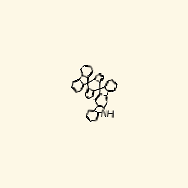 c1ccc2c(c1)-c1ccccc1C21c2ccccc2C2(c3ccccc3-c3cc4[nH]c5ccccc5c4cc32)c2ccccc21